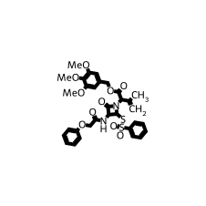 C=C(C)C(C(=O)OCc1cc(OC)c(OC)c(OC)c1)N1C(=O)C(NC(=O)COc2ccccc2)C1SS(=O)(=O)c1ccccc1